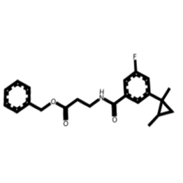 CC1CC1(C)c1cc(F)cc(C(=O)NCCC(=O)OCc2ccccc2)c1